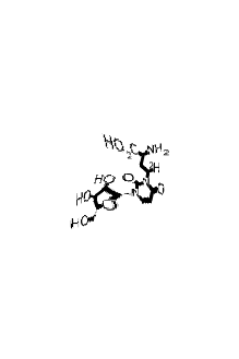 [2H]C(CC(N)C(=O)O)n1c(=O)ccn([C@@H]2O[C@H](CO)[C@@H](O)[C@H]2O)c1=O